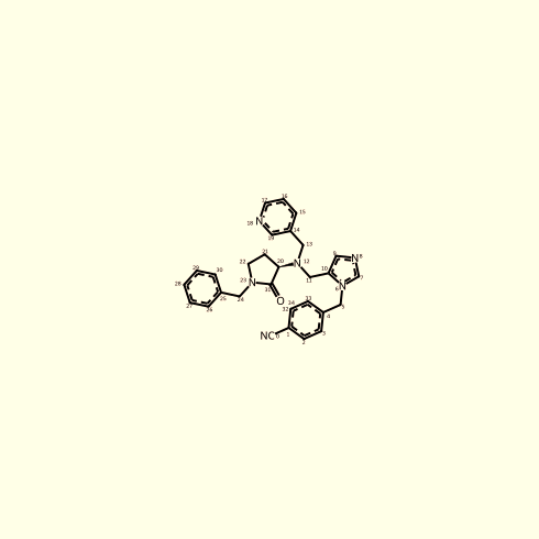 N#Cc1ccc(Cn2cncc2CN(Cc2cccnc2)[C@@H]2CCN(Cc3ccccc3)C2=O)cc1